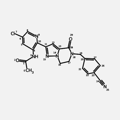 CC(=O)Nc1cc(Cl)cnc1-c1cc2n(n1)CCN(Cc1ccc(C#N)cc1)C2=O